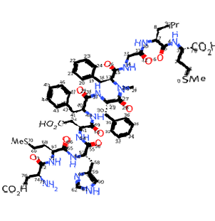 CSCC[C@H](NC(=O)[C@H](CC(C)C)NC(=O)CNC(=O)[C@H](Cc1ccccc1)N(C)C(=O)[C@H](Cc1ccccc1)NC(=O)[C@H](Cc1ccccc1)NC(=O)[C@H](CC(=O)O)NC(=O)[C@H](Cc1c[nH]cn1)NC(=O)[C@H](CCSC)NC(=O)[C@@H](N)CC(=O)O)C(=O)O